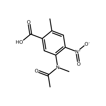 CC(=O)N(C)c1cc(C(=O)O)c(C)cc1[N+](=O)[O-]